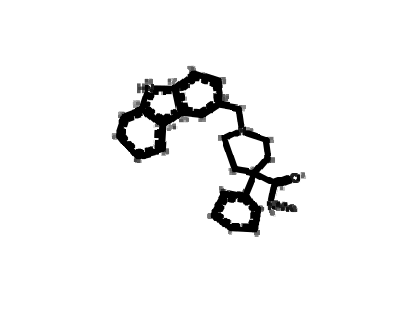 CNC(=O)C1(c2ccccc2)CCN(Cc2ccc3[nH]c4ccccc4c3c2)CC1